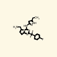 CCc1cc(Nc2nc(C(F)(F)c3ccc(F)cc3)nc3ccc(CN)n23)n[nH]1